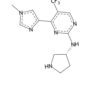 Cn1cnc(-c2nc(N[C@@H]3CCNC3)ncc2C(F)(F)F)c1